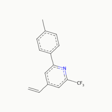 C=Cc1cc(-c2ccc(C)cc2)nc(C(F)(F)F)c1